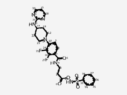 O=C(CCNC(=O)c1ccc(N2CCC(Nc3ncccn3)CC2)c(F)c1F)ONS(=O)(=O)c1ccccc1